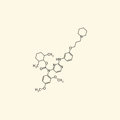 COc1ccc(N(C(=O)OC2C(C)CCCC2C)c2ccnc(Nc3cccc(OCCCN4CCCCC4)c3)n2)c(OC)c1